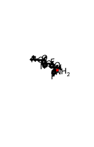 CCN(CC)CCCOc1cc2nccc(Oc3ccc(N(C(=O)[C@@]4(C(N)=O)[C@H](C)[C@@H]4C)c4ccc(F)cc4)cc3F)c2cc1OC